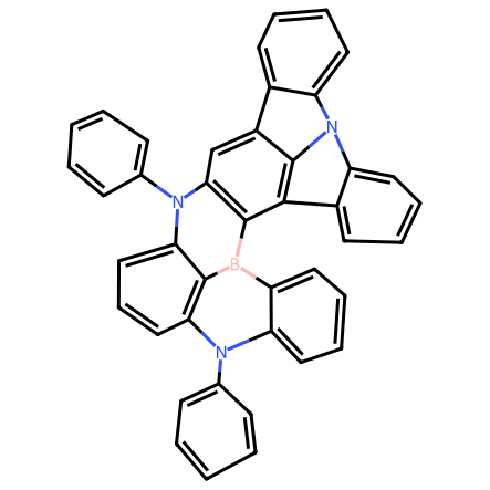 c1ccc(N2c3ccccc3B3c4c2cccc4N(c2ccccc2)c2cc4c5ccccc5n5c6ccccc6c(c23)c45)cc1